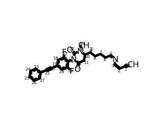 C#C/C=C\N=C/CCCCC1CC(=O)N(c2c(F)cc(C#Cc3ccccc3)cc2F)C(=O)N1C